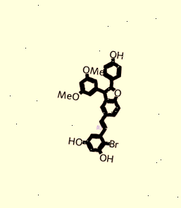 COc1cc(OC)cc(C2c3cc(/C=C/c4cc(O)cc(O)c4Br)ccc3OC2c2ccc(O)cc2)c1